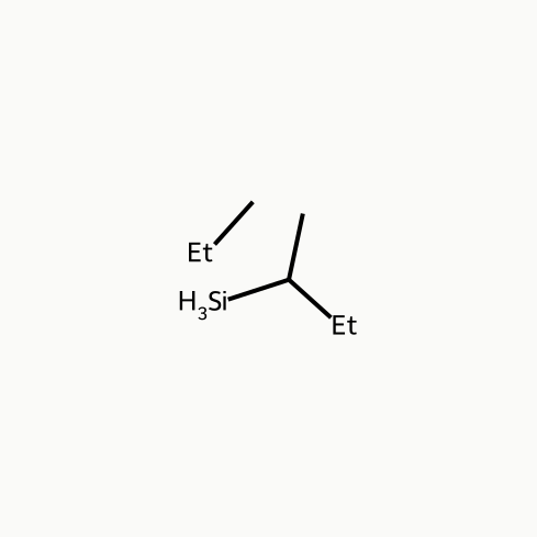 CCC.CCC(C)[SiH3]